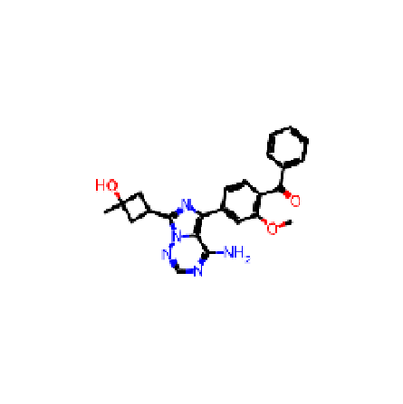 COc1cc(-c2nc(C3CC(C)(O)C3)n3ncnc(N)c23)ccc1C(=O)c1ccccc1